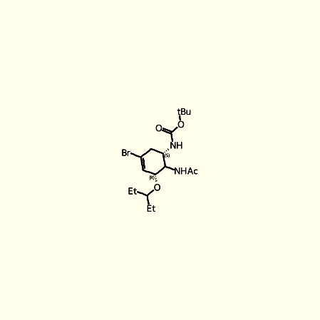 CCC(CC)O[C@@H]1C=C(Br)C[C@H](NC(=O)OC(C)(C)C)C1NC(C)=O